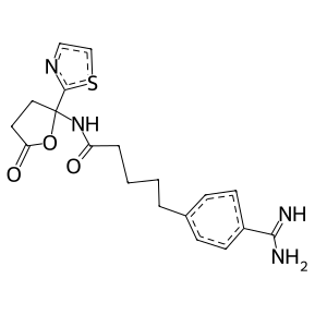 N=C(N)c1ccc(CCCCC(=O)NC2(c3nccs3)CCC(=O)O2)cc1